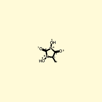 CC1C(=O)N(O)C(=O)N1O